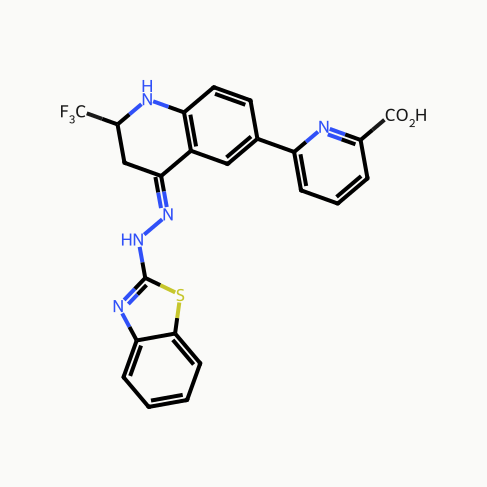 O=C(O)c1cccc(-c2ccc3c(c2)/C(=N/Nc2nc4ccccc4s2)CC(C(F)(F)F)N3)n1